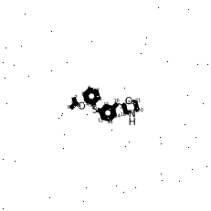 CC(C)Oc1ccccc1Sc1cccc(C[C@H]2CNCCO2)c1